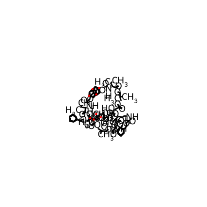 CC(C)[C@H](NC(=O)OCc1ccccc1)C(=O)OCC(C)(C)COC(=O)C(O)OP(=O)(O)C(O)(CCCNC(=O)OCc1ccccc1)P(=O)(OC(O)C(=O)OCC(C)(C)COC(=O)[C@@H](NC(=O)OCc1ccccc1)C(C)C)OC(O)C(=O)OCC(C)(C)COC(=O)[C@@H](NC(=O)OCc1ccccc1)C(C)C